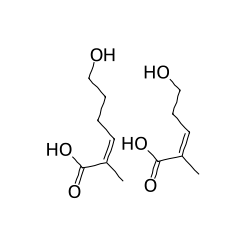 CC(=CCCCO)C(=O)O.CC(=CCCO)C(=O)O